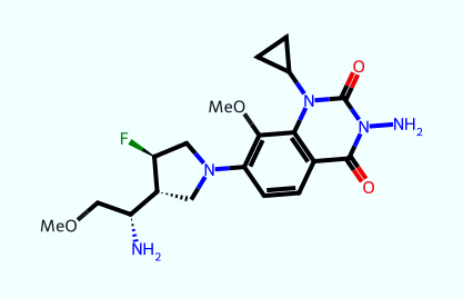 COC[C@@H](N)[C@H]1CN(c2ccc3c(=O)n(N)c(=O)n(C4CC4)c3c2OC)C[C@@H]1F